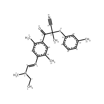 CCN(C)C=Nc1cc(C)c(C(=O)C(C)(C#N)Sc2cccc(C)c2)cc1C